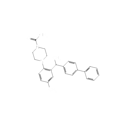 CC(=O)N1CCN(c2ccc(C)cc2C(C)c2ccc(-c3ccccc3)cc2)CC1